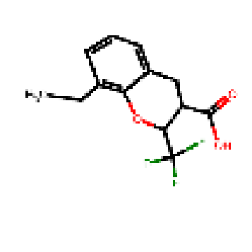 CCc1cccc2c1OC(C(F)(F)F)C(C(=O)O)C2